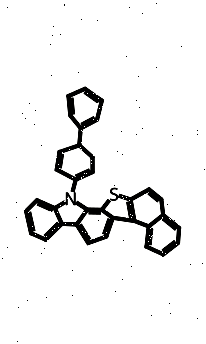 C1=CC(c2ccccc2)CC=C1n1c2ccccc2c2ccc3c(sc4ccc5ccccc5c43)c21